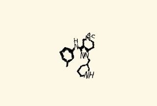 CC(=O)N1CCc2c(c(Nc3cccc(C)c3)nn2CC2CCCNC2)C1